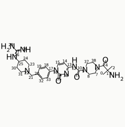 CC(C)(N)C(=O)N1CCN(C(=O)Nc2ccn(-c3ccc(CN4CCC(NC(=N)N)CC4)cc3)c(=O)n2)CC1